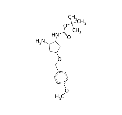 COc1ccc(COC2CC(N)C(NC(=O)OC(C)(C)C)C2)cc1